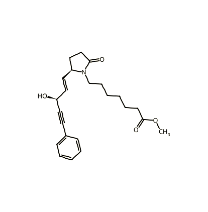 COC(=O)CCCCCCN1C(=O)CC[C@@H]1C=C[C@H](O)C#Cc1ccccc1